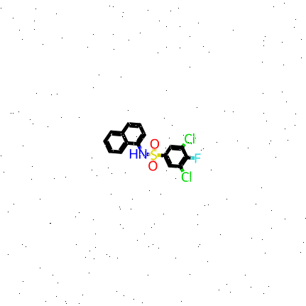 O=S(=O)(Nc1cccc2ccccc12)c1cc(Cl)c(F)c(Cl)c1